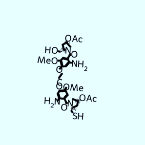 COc1cc(C(=O)N2C[C@H](OC(C)=O)C[C@H]2CO)c(N)cc1OCCCOc1cc(N)c(C(=O)N2C[C@H](OC(C)=O)C[C@H]2CS)cc1OC